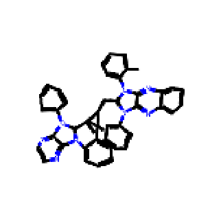 Cc1ccccc1N1c2nc3ccccc3nc2N(c2ccccc2)C1CC1C2(C)c3ccccc3N3c4nccnc4N(c4ccccc4)C3C12C